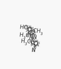 COc1cnc(-n2c(C)cc3c(C#N)cccc32)nc1N(C)c1cccc(O)c1